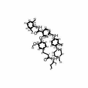 CC[C@H](C)NC(=O)CCc1ccc(Oc2nc(Nc3ccc(N4CCN(C)CC4)c(F)c3)ncc2C(=O)Nc2c(C)cccc2C)c(OC)c1